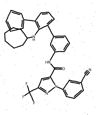 N#Cc1cccc(-n2nc(C(F)(F)F)cc2C(=O)Nc2cccc(-c3cccc(-c4ccccc4)c3NC3CCCCCC3)c2)c1